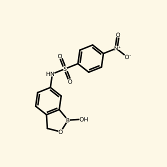 O=[N+]([O-])c1ccc(S(=O)(=O)Nc2ccc3c(c2)B(O)OC3)cc1